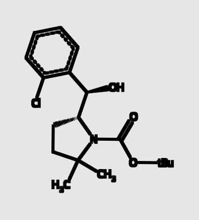 CC(C)(C)OC(=O)N1[C@@H]([C@H](O)c2ccccc2Cl)CCC1(C)C